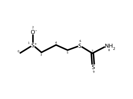 C[S+]([O-])CCCSC(N)=S